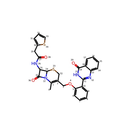 CC1=C(COc2ccccc2-c2nc3ccccc3c(=O)[nH]2)CSC2C(NC(=O)Cc3cccs3)C(=O)N12